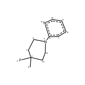 CC1(F)CCN(c2ccccn2)CC1